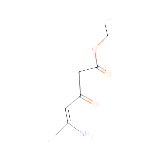 CCOC(=O)CC(=O)C=C(C)N